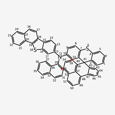 c1ccc2c(c1)Sc1ccc(N(c3ccc4c(c3)sc3c5ccccc5ccc43)c3cccc4ccccc34)cc1C21c2ccccc2-c2cccc3cccc1c23